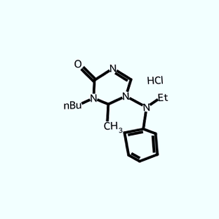 CCCCN1C(=O)N=CN(N(CC)c2ccccc2)C1C.Cl